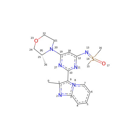 Cc1nc2ccccn2c1-c1nc(N=S(C)(C)=O)cc(N2CCOC[C@H]2C)n1